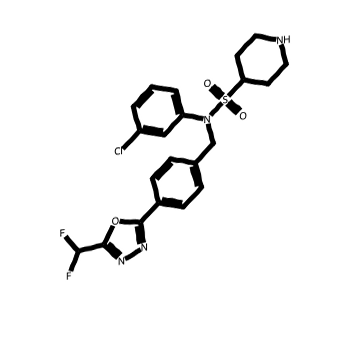 O=S(=O)(C1CCNCC1)N(Cc1ccc(-c2nnc(C(F)F)o2)cc1)c1cccc(Cl)c1